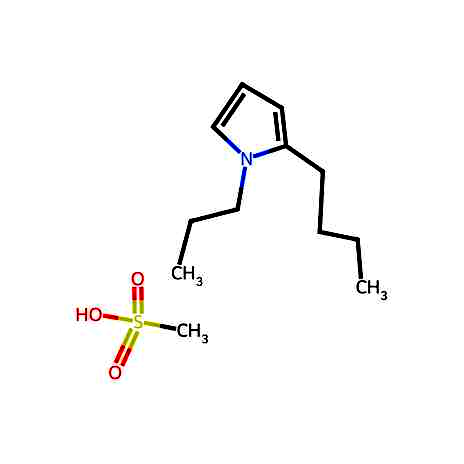 CCCCc1cccn1CCC.CS(=O)(=O)O